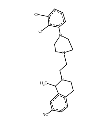 CC1c2cc(C#N)ccc2CCN1CCN1CCN(c2cccc(Cl)c2Cl)CC1